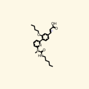 CCCCCNC(=O)N(C)c1cccc(-c2ccc(/C=C/C(=O)O)cc2OCCCC)n1